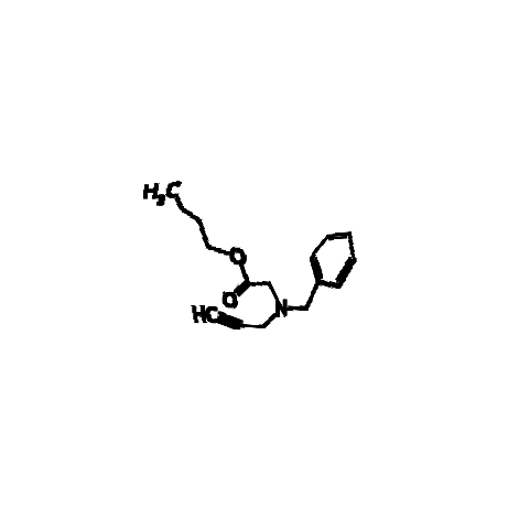 C#CCN(CC(=O)OCCCC)Cc1ccccc1